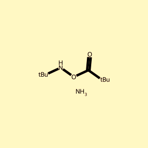 CC(C)(C)NOC(=O)C(C)(C)C.N